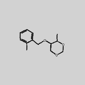 Cc1ccccc1COC1COCOC1C